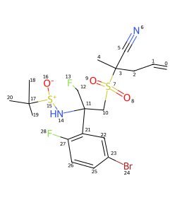 C=CCC(C)(C#N)S(=O)(=O)CC(CF)(N[S+]([O-])C(C)(C)C)c1cc(Br)ccc1F